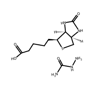 NNC(N)=O.O=C(O)CCCC[C@@H]1SC[C@@H]2NC(=O)N[C@@H]21